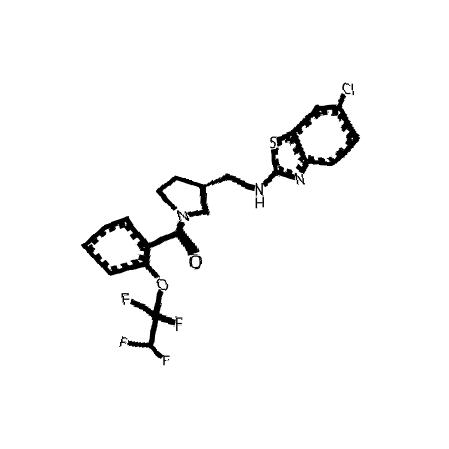 O=C(c1ccccc1OC(F)(F)C(F)F)N1CC[C@@H](CNc2nc3ccc(Cl)cc3s2)C1